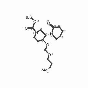 COCCOCO[C@H]1CCN(C(=O)OC(C)(C)C)C[C@@H]1N1CCCCC1=O